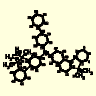 CC1(C)c2ccccc2-c2c1ccc1cc(N(c3ccc(-c4ccccc4)cc3)c3ccc4c(c3)C(C)(C)C(C)(C)c3ccccc3-4)ccc21